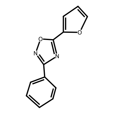 c1ccc(-c2noc(-c3ccco3)n2)cc1